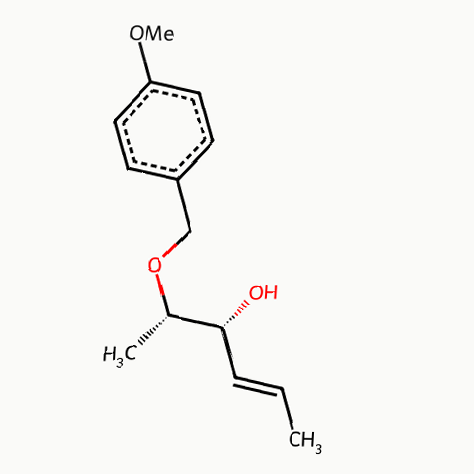 C/C=C/[C@@H](O)[C@H](C)OCc1ccc(OC)cc1